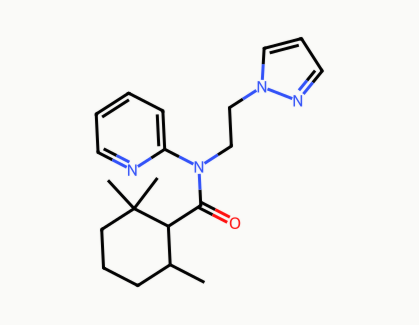 CC1CCCC(C)(C)C1C(=O)N(CCn1cccn1)c1ccccn1